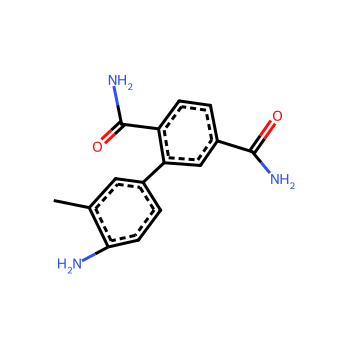 Cc1cc(-c2cc(C(N)=O)ccc2C(N)=O)ccc1N